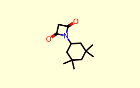 CC1(C)CC(N2C(=O)CC2=O)CC(C)(C)C1